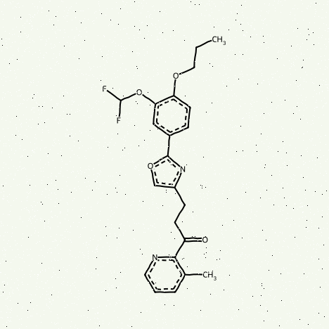 CCCOc1ccc(-c2nc(CCC(=O)c3ncccc3C)co2)cc1OC(F)F